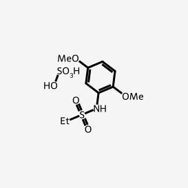 CCS(=O)(=O)Nc1cc(OC)ccc1OC.O=S(=O)(O)O